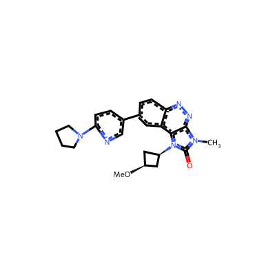 CO[C@H]1C[C@@H](n2c(=O)n(C)c3nnc4ccc(-c5ccc(N6CCCC6)nc5)cc4c32)C1